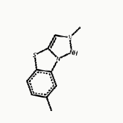 Cc1ccc2c(c1)N1NN(C)C=C1S2